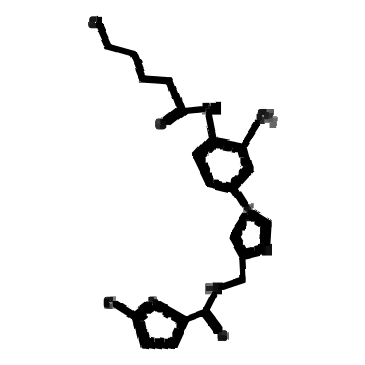 Cc1cc(-n2cnc(CNC(=O)c3ccc(Cl)s3)c2)ccc1NC(=O)CCCCCl